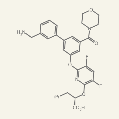 CC(C)C[C@@H](Oc1nc(Oc2cc(C(=O)N3CCOCC3)cc(-c3cccc(CN)c3)c2)c(F)cc1F)C(=O)O